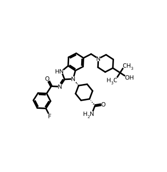 CC(C)(O)C1CCN(Cc2ccc3[nH]/c(=N\C(=O)c4cccc(F)c4)n([C@H]4CC[C@@H](C(N)=O)CC4)c3c2)CC1